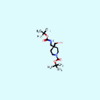 CC(C)(C)OC(=O)NCC1(CO)CCN(C(=O)OC(C)(C)C)CC1